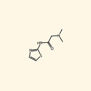 CN(C)CC(=O)Nc1n[c]cs1